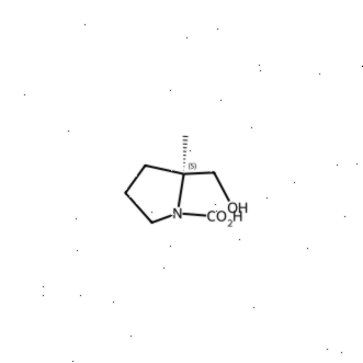 C[C@@]1(CO)CCCN1C(=O)O